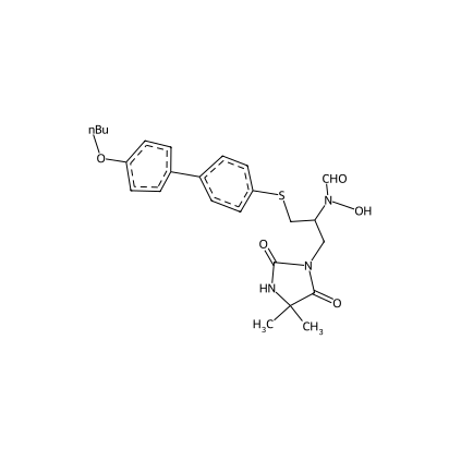 CCCCOc1ccc(-c2ccc(SCC(CN3C(=O)NC(C)(C)C3=O)N(O)C=O)cc2)cc1